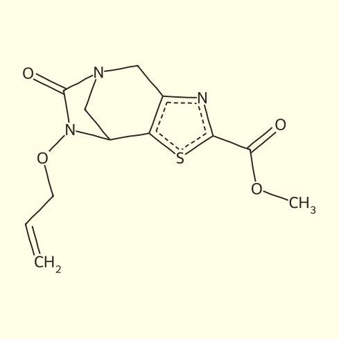 C=CCON1C(=O)N2Cc3nc(C(=O)OC)sc3C1C2